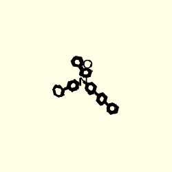 C1=CCC=C(c2ccc(N(c3ccc(-c4ccc(-c5ccccc5)cc4)cc3)c3ccc4oc5ccccc5c4c3)cc2)C=C1